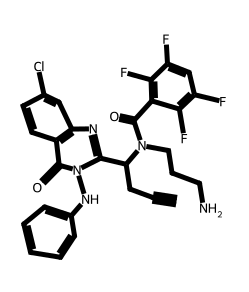 C#CCC(c1nc2cc(Cl)ccc2c(=O)n1Nc1ccccc1)N(CCCN)C(=O)c1c(F)c(F)cc(F)c1F